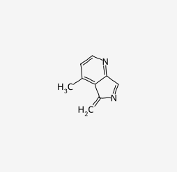 C=C1N=Cc2nccc(C)c21